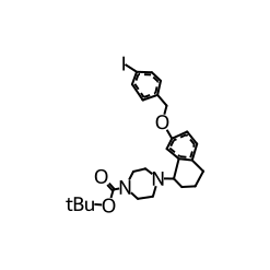 CC(C)(C)OC(=O)N1CCN(C2CCCc3ccc(OCc4ccc(I)cc4)cc32)CC1